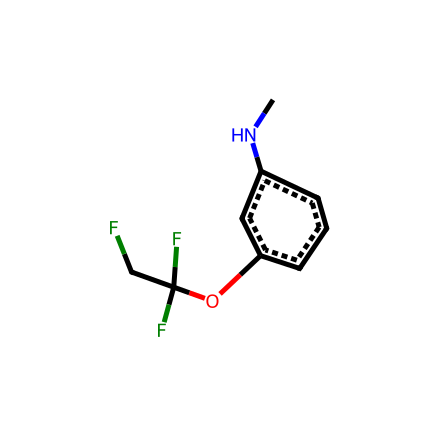 CNc1cccc(OC(F)(F)CF)c1